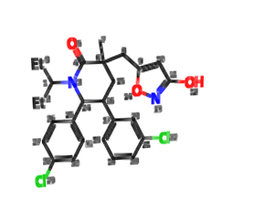 CCC(CC)N1C(=O)C(C)(Cc2cc(O)no2)CC(c2cccc(Cl)c2)C1c1ccc(Cl)cc1